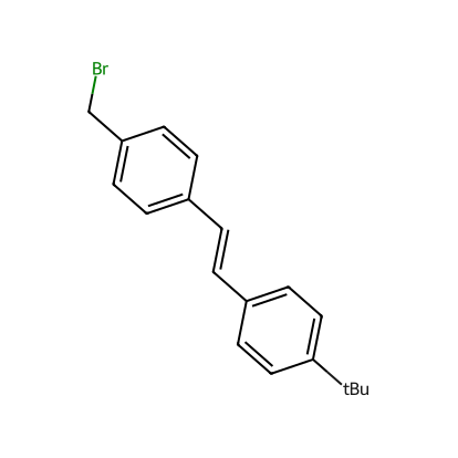 CC(C)(C)c1ccc(C=Cc2ccc(CBr)cc2)cc1